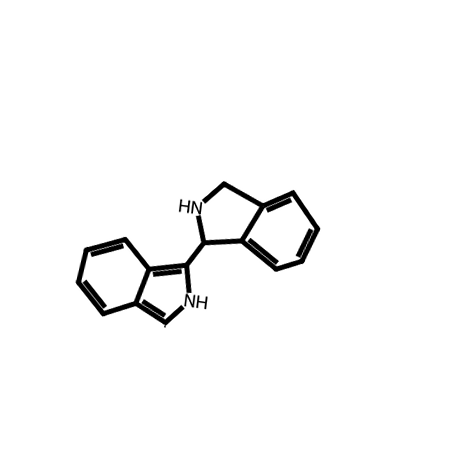 [c]1[nH]c(C2NCc3ccccc32)c2ccccc12